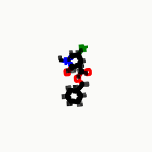 Cn1cc(Br)cc(C(=O)OCc2ccccc2)c1=O